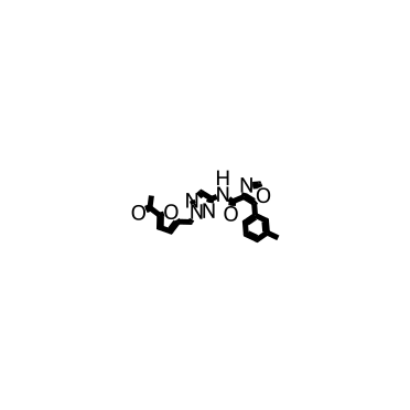 CC(=O)c1ccc(Cn2ncc(NC(=O)c3ncoc3-c3cccc(C)c3)n2)o1